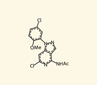 COc1ccc(Cl)cc1-n1ncc2c(NC(C)=O)nc(Cl)cc21